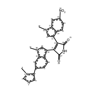 Cn1cncc1-c1ccc2c(C3=C(c4cn(C)c5cc([N+](=O)[O-])ccc45)C(=O)NC3=O)cn(C)c2c1